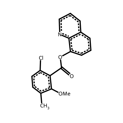 COc1c(C)ccc(Cl)c1C(=O)Oc1cccc2cccnc12